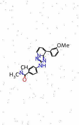 COc1cccc(-c2cccn3nc(Nc4ccc(C(=O)N(C)C)cc4)nc23)c1